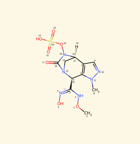 CON/C(=N\O)[C@@H]1c2c(cnn2C)[C@H]2CN1C(=O)N2OS(=O)(=O)O